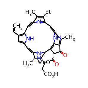 C=Cc1cc2[nH]c1/C=C1N=C(/C=c3\[nH]c4c(c3C)C(=O)[C@H](C(=O)OC)C=4C3N/C(=C\2)[C@@H](C)[C@@H]3CCC(=O)O)C(CC)=C\1C